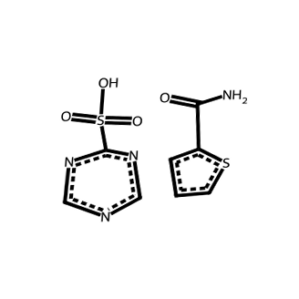 NC(=O)c1cccs1.O=S(=O)(O)c1ncncn1